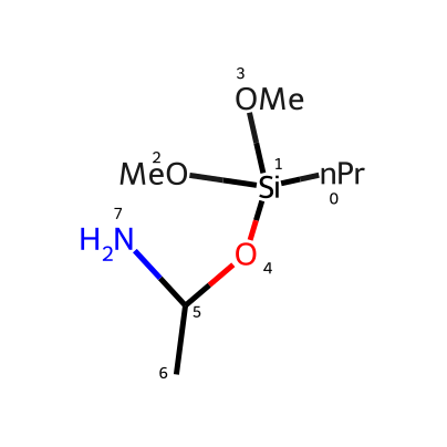 CCC[Si](OC)(OC)OC(C)N